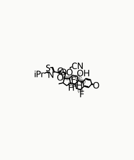 CC(C)c1nc(C(=O)O[C@]2(C(=O)OCC#N)C(C)C[C@H]3[C@@H]4C[C@H](F)C5=CC(=O)C=C[C@]5(C)[C@@]4(F)[C@@H](O)C[C@@]32C)cs1